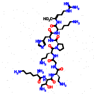 N=C(N)NCC/C=C(\NC(=O)[C@H](CCCCN)NC(=O)[C@H](Cc1cnc[nH]1)NC(=O)[C@@H]1CCCN1C(=O)[C@@H](CCCN)NC(=O)CNC(=O)[C@H](CCN)NC(=O)[C@@H](NC(=O)[C@@H](N)CCCCN)[C@@H](O)CN)C(=O)O